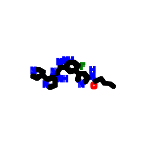 CCCCC(=O)Nc1cncc(-c2cc3c(-c4nc5c(-c6ccncc6)nccc5[nH]4)n[nH]c3cc2F)c1